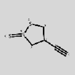 C#CC1CSS(=S)C1